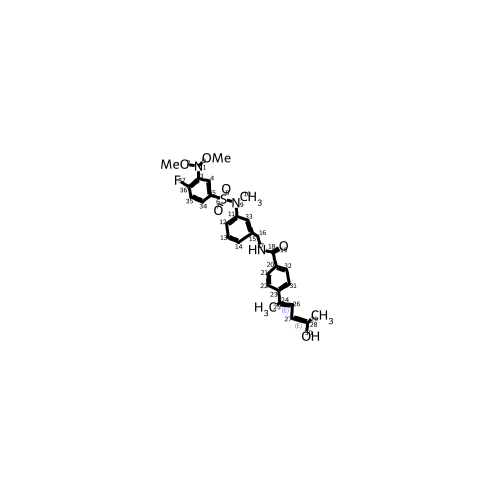 CON(OC)c1cc(S(=O)(=O)N(C)c2cccc(CNC(=O)c3ccc(/C(C)=C/C=C(\C)O)cc3)c2)ccc1F